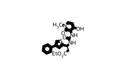 CCOC(=O)C[C@H](NC(=O)Nc1c(O)ccn(C)c1=O)c1cc(-c2ccccc2)cs1